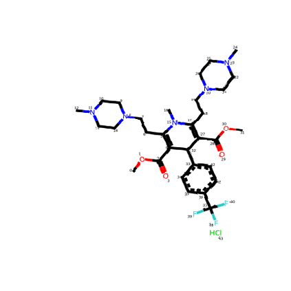 COC(=O)C1=C(CCN2CCN(C)CC2)N(C)C(CCN2CCN(C)CC2)=C(C(=O)OC)C1c1ccc(C(F)(F)F)cc1.Cl